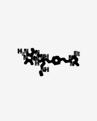 C=CNCCC1(CCc2ccc(CCc3nc(C)cc(CC)n3)cc2)CN/C(=N\C(=C)c2nc(C)c(C)nc2N)N1